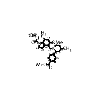 COC(=O)c1ccc(C2CC(C)CCN2Cc2c(OC)cc(C)c3c2ccn3C(=O)OC(C)(C)C)cc1